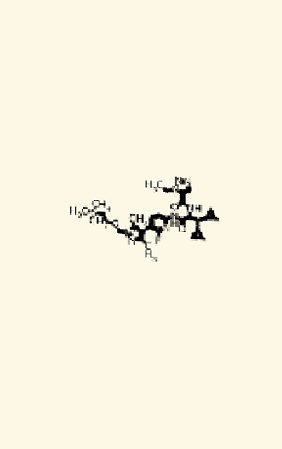 CCn1nncc1C(=O)NC(C(=O)Nc1ccc(-c2c(C)nn(COCCS(C)(C)C)c2C)c(F)n1)C(C1CC1)C1CC1